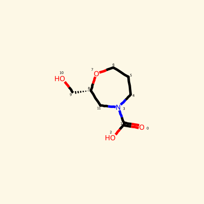 O=C(O)N1CCCO[C@@H](CO)C1